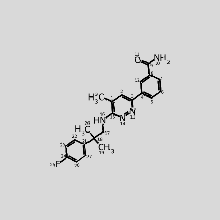 Cc1cc(-c2cccc(C(N)=O)c2)nnc1NCC(C)(C)c1ccc(F)cc1